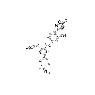 Cc1cc(OCc2sc(-c3ccc(C(F)(F)F)cc3)nc2CO)ccc1-c1noc(=O)[nH]1